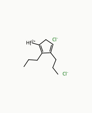 CCCC1=CC[C]([Hf+2])=C1CCC.[Cl-].[Cl-]